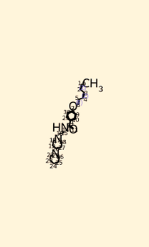 C\C=C/C=C\C=C\Oc1ccc(C(=O)NCCN2CCC(N3CCCCC3)CC2)cc1